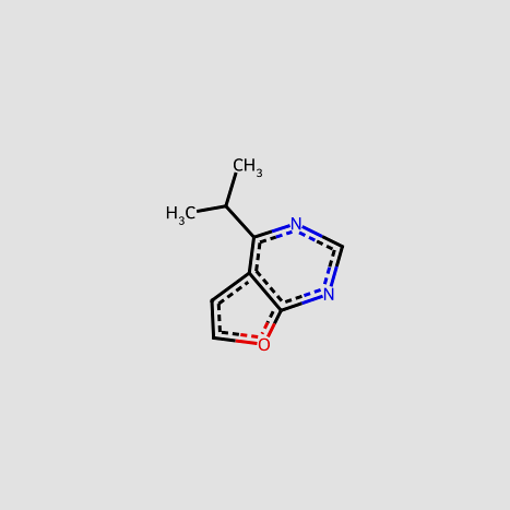 CC(C)c1ncnc2occc12